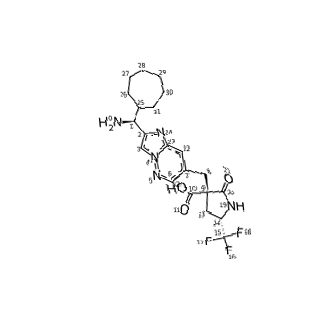 N[C@H](c1cn2ncc(C[C@]3(C(=O)O)C[C@@H](C(F)(F)F)NC3=O)cc2n1)C1CCCCCC1